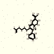 C=C(C)CCCCc1cc2c(nc1-c1ccccc1)CCC(C(=C)C)=C2